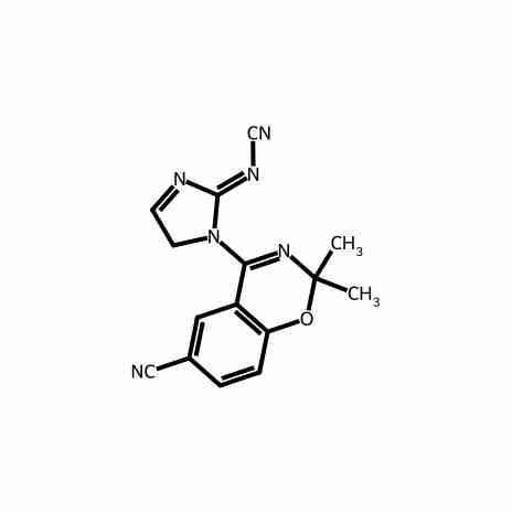 CC1(C)N=C(N2CC=NC2=NC#N)c2cc(C#N)ccc2O1